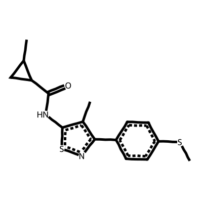 CSc1ccc(-c2nsc(NC(=O)C3CC3C)c2C)cc1